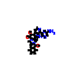 Nc1cncc(-c2nccc3c4c([nH]c23)[C@@H]2CN(C(=O)c3ccccc3)CCN2C(=O)C4=O)n1